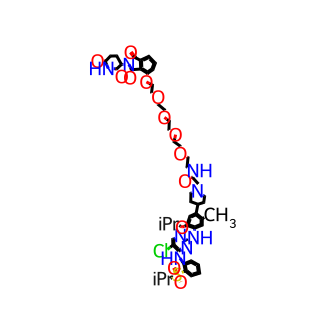 Cc1cc(Nc2ncc(Cl)c(Nc3ccccc3S(=O)(=O)C(C)C)n2)c(OC(C)C)cc1C1CCN(CC(=O)NCCOCCOCCOCCOCCOc2cccc3c2C(=O)N(C2CCC(=O)NC2=O)C3=O)CC1